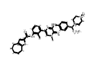 CCOC(=O)C(c1ccc(Nc2nc(-c3cccc(NC(=O)c4cc5c(s4)CCCCC5)c3C)cn(C)c2=O)cc1)N1CCN(CC)CC1